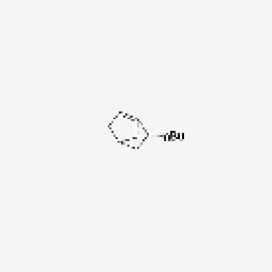 CCCCC1CC2CC=C1C2